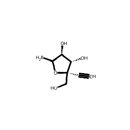 BC1O[C@](C#C)(CO)[C@@H](O)[C@@H]1O